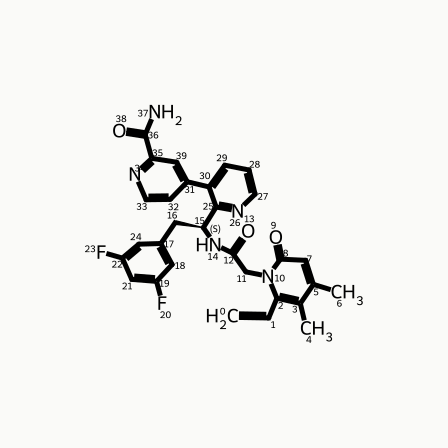 C=Cc1c(C)c(C)cc(=O)n1CC(=O)N[C@@H](Cc1cc(F)cc(F)c1)c1ncccc1-c1ccnc(C(N)=O)c1